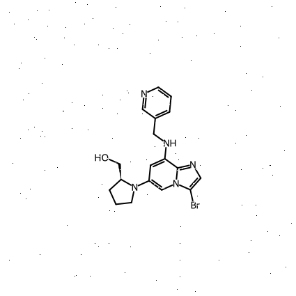 OC[C@@H]1CCCN1c1cc(NCc2cccnc2)c2ncc(Br)n2c1